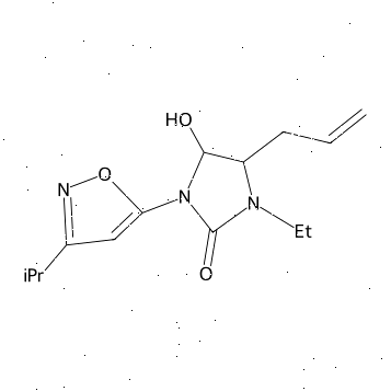 C=CCC1C(O)N(c2cc(C(C)C)no2)C(=O)N1CC